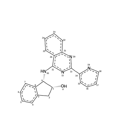 O[C@@H]1Cc2ccccc2[C@@H]1Nc1nc(-c2ccccn2)nc2ccccc12